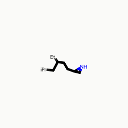 CCC(CCC1CN1)CC(C)C